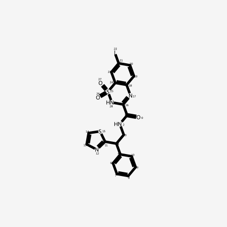 O=C(NCC(c1ccccc1)c1nccs1)C1=Nc2ccc(I)cc2S(=O)(=O)N1